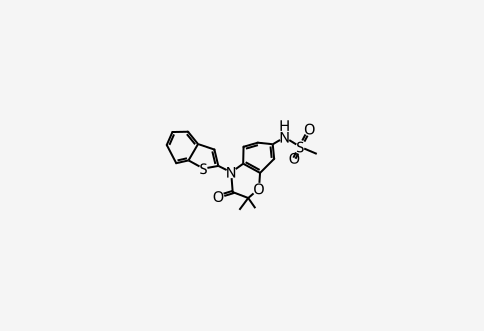 CC1(C)Oc2cc(NS(C)(=O)=O)ccc2N(c2cc3ccccc3s2)C1=O